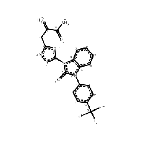 C=C(Cc1nnc(-n2c(=O)n(-c3ccc(C(F)(F)F)cc3)c3ccccc32)o1)C(N)=O